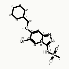 CS(=O)(=O)Nc1nnc2cc(OCC3CCCCC3)c(Br)cn12